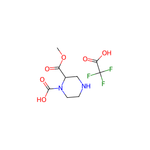 COC(=O)C1CNCCN1C(=O)O.O=C(O)C(F)(F)F